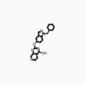 Oc1nc(Oc2ccc3c(cnn3Cc3ccccc3)c2)nc2cnccc12